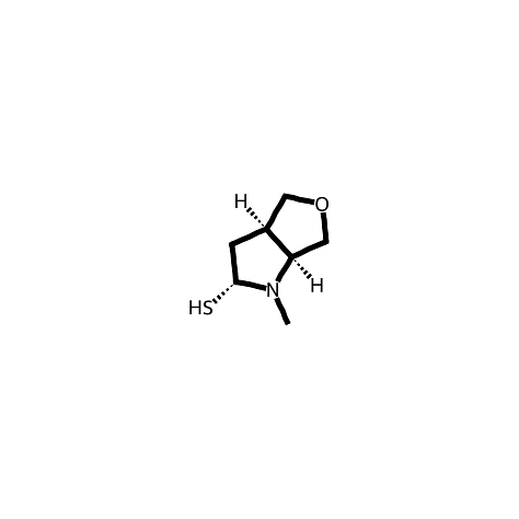 CN1[C@H](S)C[C@H]2COC[C@H]21